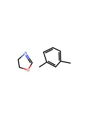 C1=NCCO1.Cc1cccc(C)c1